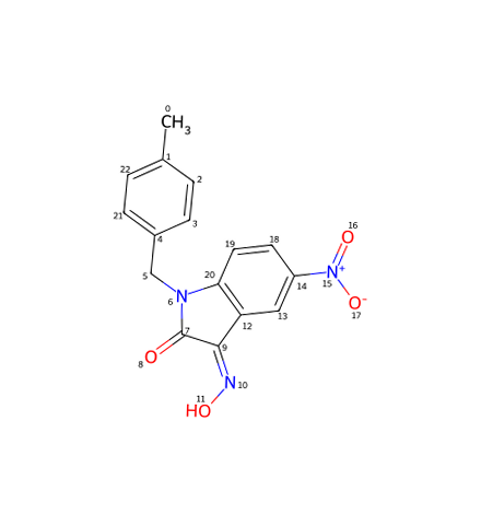 Cc1ccc(CN2C(=O)/C(=N\O)c3cc([N+](=O)[O-])ccc32)cc1